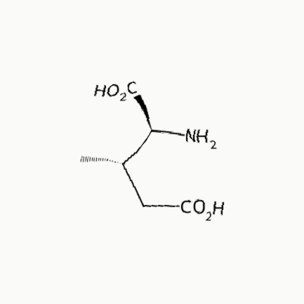 C[C@@H](CC(=O)O)[C@H](N)C(=O)O